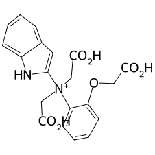 O=C(O)COc1ccccc1[N+](CC(=O)O)(CC(=O)O)c1cc2ccccc2[nH]1